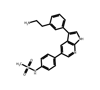 CS(=O)(=O)Nc1ccc(-c2cnc3[nH]cc(-c4cccc(CCN)c4)c3c2)cc1